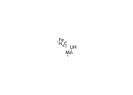 C.[Fe].[LiH].[Mn]